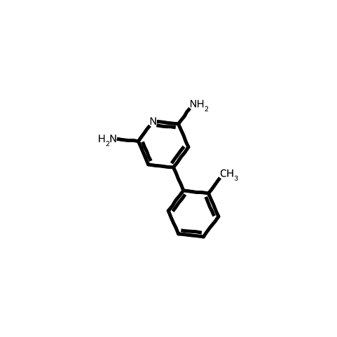 Cc1ccccc1-c1cc(N)nc(N)c1